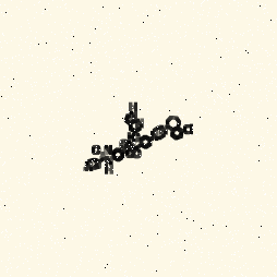 CN1CC2CC1CC2CNc1ccc(S(=O)(=O)NC(=O)c2ccc(N3CCN(C4CCCCc5c(Cl)cccc54)CC3)cc2Oc2cnc3[nH]ccc3c2)cc1[N+](=O)[O-]